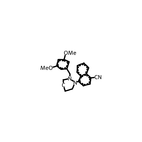 COc1cc(CN2CCCCN2c2ccc(C#N)c3ccccc23)cc(OC)c1